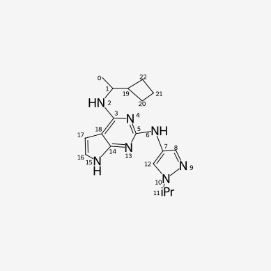 CC(Nc1nc(Nc2cnn(C(C)C)c2)nc2[nH]ccc12)C1CCC1